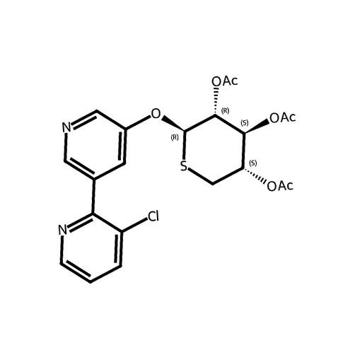 CC(=O)O[C@@H]1[C@@H](OC(C)=O)[C@H](OC(C)=O)CS[C@H]1Oc1cncc(-c2ncccc2Cl)c1